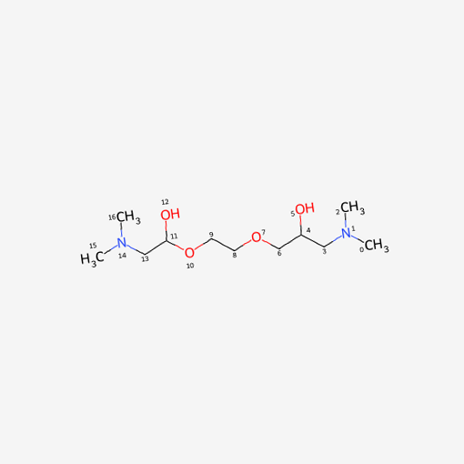 CN(C)CC(O)COCCOC(O)CN(C)C